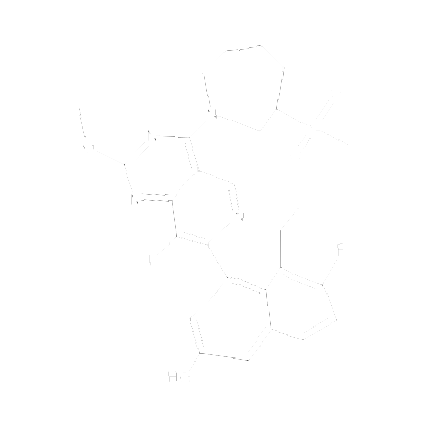 CCc1c(F)ccc2cc(O)cc(-c3ncc4c(N5CCCCC(S(C)(=O)=O)C5)nc(OC)nc4c3F)c12